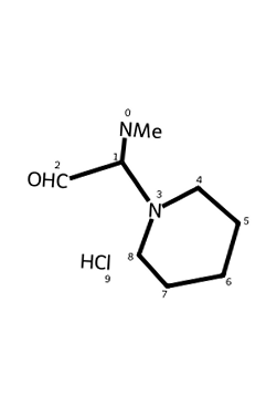 CNC(C=O)N1CCCCC1.Cl